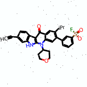 C#Cc1ccc2c(c1)[nH]c1c2c(=O)c2cc(C(C)C)c(-c3cccc(S(=O)(=O)F)c3)cc2n1C1CCOCC1